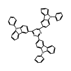 c1ccc(-n2c3ccccc3c3cc(-c4cc(-c5ccc6c(c5)c5ccccc5n6-c5ccccc5)nc(-c5ccc6c(c5)c5ccccc5n6-c5ccccc5)n4)ccc32)cc1